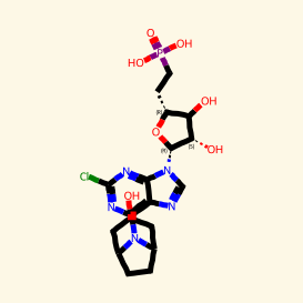 O=P(O)(O)CC[C@H]1O[C@@H](n2cnc3c(N4C5CCC4CC(O)C5)nc(Cl)nc32)[C@@H](O)C1O